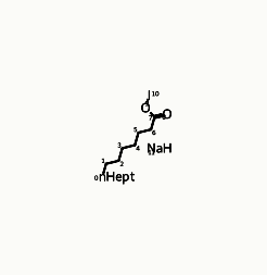 CCCCCCCCCCCCCC(=O)OI.[NaH]